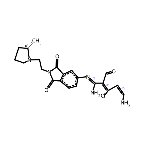 C[C@H]1CCCN1CCN1C(=O)c2ccc(/N=C(N)/C(C=O)=C(Cl)/C=C\N)cc2C1=O